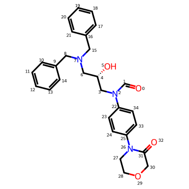 O=CN(C[C@@H](O)CN(Cc1ccccc1)Cc1ccccc1)c1ccc(N2CCOCC2=O)cc1